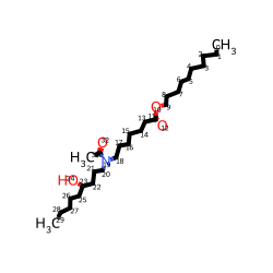 CCCCCCCCCCOC(=O)CCCCCCN(CCCC(O)CCCCC)C(C)=O